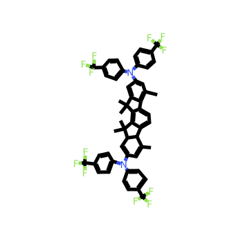 CC1=CC(N(c2ccc(C(F)(F)F)cc2)c2ccc(C(F)(F)F)cc2)=CC2C1c1ccc3c(c1C2(C)C)C(C)(C)c1cc(N(c2ccc(C(F)(F)F)cc2)c2ccc(C(F)(F)F)cc2)cc(C)c1-3